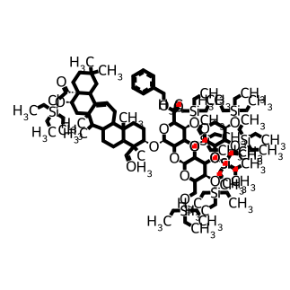 CC[Si](CC)(CC)OCC1O[C@@H](OC2C(O[C@@H]3OC[C@@H](O[Si](CC)(CC)CC)C(O[Si](CC)(CC)CC)C3O[Si](CC)(CC)CC)[C@H](O[Si](CC)(CC)CC)C(C(=O)OCc3ccccc3)O[C@H]2O[C@H]2CCC3(C)C4CC=C5C6CC(C)(C)CC[C@]6(C(=O)Cl)[C@@H](O[Si](CC)(CC)CC)CC5(C)C(C)C4CCC3C2(C)C=O)C(O[Si](CC)(CC)CC)C(O[Si](CC)(CC)CC)[C@H]1O[Si](CC)(CC)CC